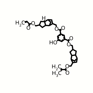 C=CC(=O)OCC1CC2C3CC(CC3COC(=O)c3cc(O)cc(C(=O)OCC4CC5C6CC(COC(=O)C(=C)C)C(C6)C5C4)c3)[C@H]2C1